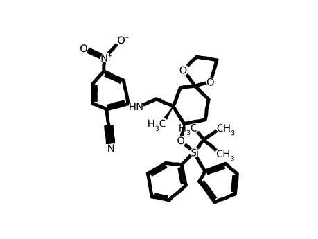 CC(C)(C)[Si](O[C@@H]1CCC2(C[C@@]1(C)CNc1cc([N+](=O)[O-])ccc1C#N)OCCO2)(c1ccccc1)c1ccccc1